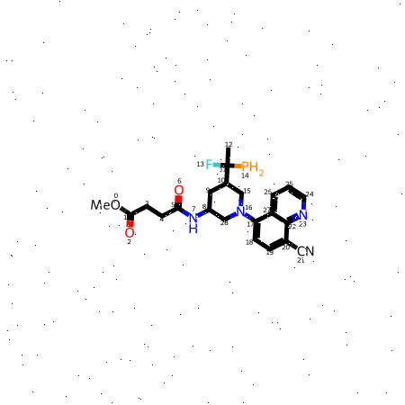 COC(=O)CCC(=O)NC1CC(C(C)(F)P)CN(c2ccc(C#N)c3ncccc23)C1